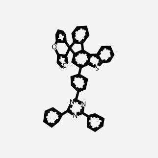 c1ccc(-c2nc(-c3ccccc3)nc(-c3ccc(-c4cc5c(c6c4sc4ccccc46)-c4ccccc4C54c5ccccc5Oc5ccccc54)cc3)n2)cc1